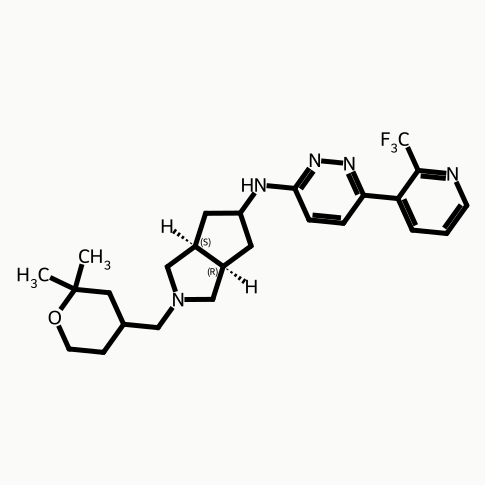 CC1(C)CC(CN2C[C@H]3CC(Nc4ccc(-c5cccnc5C(F)(F)F)nn4)C[C@H]3C2)CCO1